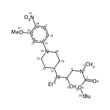 CCN(C(C)CN(C)C(=O)OC(C)(C)C)C1CCN(c2ccc([N+](=O)[O-])c(OC)c2)CC1